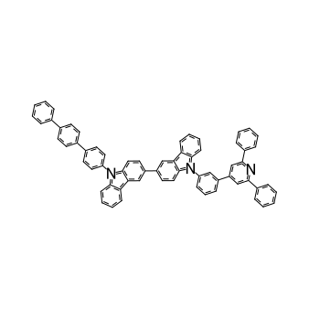 c1ccc(-c2ccc(-c3ccc(-n4c5ccccc5c5cc(-c6ccc7c(c6)c6ccccc6n7-c6cccc(-c7cc(-c8ccccc8)nc(-c8ccccc8)c7)c6)ccc54)cc3)cc2)cc1